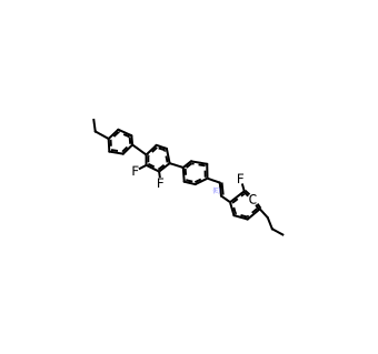 CCCc1ccc(/C=C/c2ccc(-c3ccc(-c4ccc(CC)cc4)c(F)c3F)cc2)c(F)c1